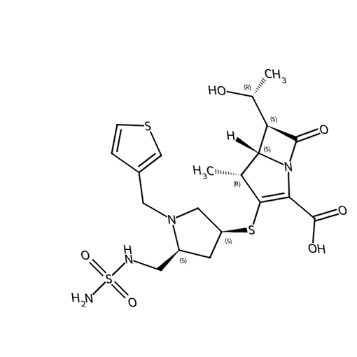 C[C@@H](O)[C@H]1C(=O)N2C(C(=O)O)=C(S[C@H]3C[C@@H](CNS(N)(=O)=O)N(Cc4ccsc4)C3)[C@H](C)[C@H]12